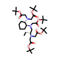 CC[C@H](CN(CC(=O)OC(C)(C)C)[C@H]1CCCC[C@@H]1N(CC(=O)OC(C)(C)C)CC(=O)OC(C)(C)C)N(CC(=O)OC(C)(C)C)CC(=O)OC(C)(C)C